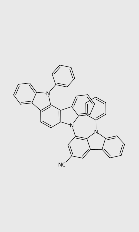 N#Cc1cc(-n2c3ccccc3c3c2ccc2c4ccccc4n(-c4ccccc4)c23)c2c(c1)c1ccccc1n2-c1ccccc1